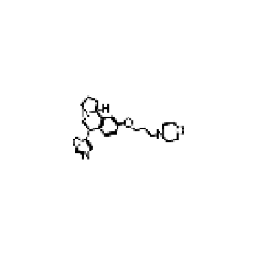 c1ncc([C@H]2CN3CCC[C@H]3c3cc(OCCCN4CCOCC4)ccc32)o1